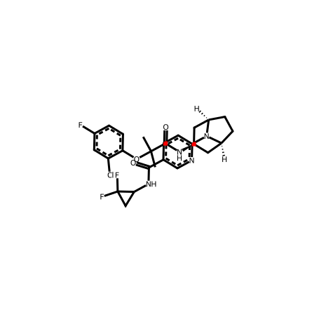 CC(C)(Oc1ccc(F)cc1Cl)C(=O)N[C@H]1C[C@H]2CC[C@@H](C1)N2c1ccc(C(=O)NC2CC2(F)F)cn1